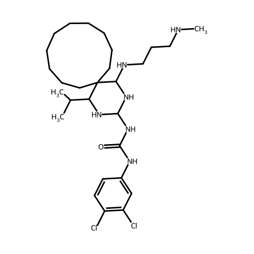 CNCCCNC1NC(NC(=O)Nc2ccc(Cl)c(Cl)c2)NC(C(C)C)C12CCCCCCCCCC2